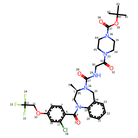 C[C@@H]1CN(C(=O)c2ccc(OCC(F)(F)F)cc2Cl)c2ccccc2CN1C(=O)NCC(=O)N1CCN(C(=O)OC(C)(C)C)CC1